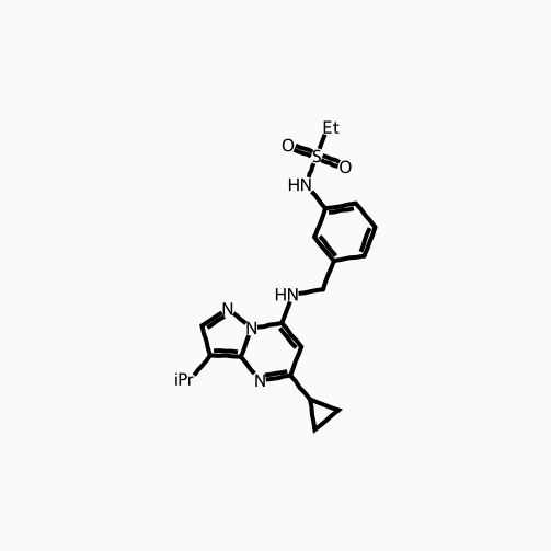 CCS(=O)(=O)Nc1cccc(CNc2cc(C3CC3)nc3c(C(C)C)cnn23)c1